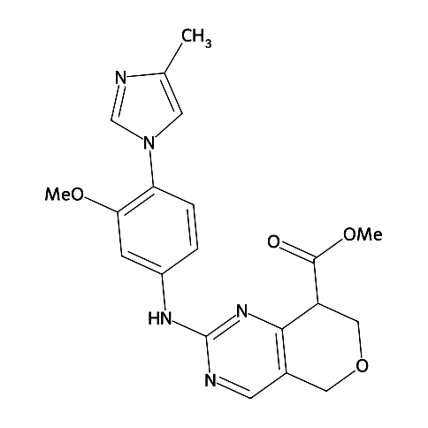 COC(=O)C1COCc2cnc(Nc3ccc(-n4cnc(C)c4)c(OC)c3)nc21